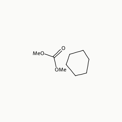 C1CCCCC1.COC(=O)OC